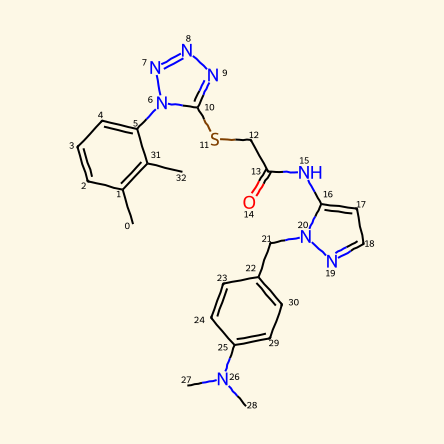 Cc1cccc(-n2nnnc2SCC(=O)Nc2ccnn2Cc2ccc(N(C)C)cc2)c1C